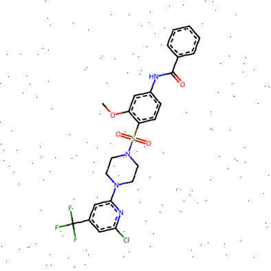 COc1cc(NC(=O)c2ccccc2)ccc1S(=O)(=O)N1CCN(c2cc(C(F)(F)F)cc(Cl)n2)CC1